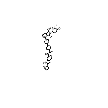 CN1CCC[C@@H]1c1cc2cnc(NC(=O)c3ccc(C4CCN(c5cccc6c5C(=O)N(C5CCC(=O)NC5=O)C6=O)CC4)cc3)cc2[nH]1